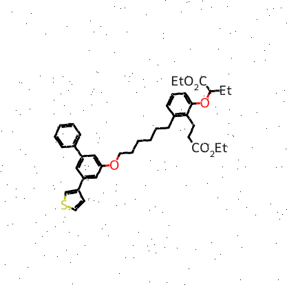 CCOC(=O)CCc1c(CCCCCCOc2cc(-c3ccccc3)cc(-c3ccsc3)c2)cccc1OC(CC)C(=O)OCC